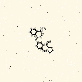 N=C(C1CCCN1)n1cc(OC2CCC(N)c3ccccc32)ccc1=N